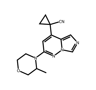 CC1COCCN1c1cc(C2(C#N)CC2)c2cncn2n1